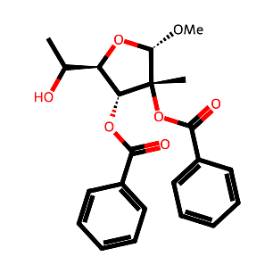 CO[C@H]1O[C@H](C(C)O)[C@@H](OC(=O)c2ccccc2)[C@@]1(C)OC(=O)c1ccccc1